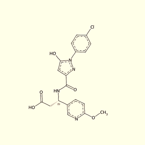 COc1ccc([C@H](CC(=O)O)NC(=O)c2cc(O)n(-c3ccc(Cl)cc3)n2)cn1